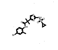 Cc1cc(Br)ccc1NC(=O)C(C)(C)c1csc(NS(=O)(=O)C2CC2)n1